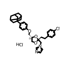 Cl.Clc1ccc(CC[C@@]2(Cn3ccnc3)OC[C@H](COc3ccc(C45CC6CC(CC(C6)C4)C5)cc3)O2)cc1